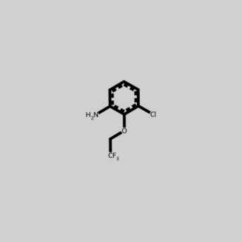 Nc1cccc(Cl)c1OCC(F)(F)F